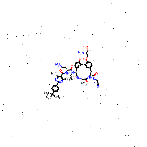 Cc1nc(-c2ccc(C(C)(C)C)cc2)nc(C)c1C(=O)N[C@@H](CCN)C(=O)N(C)[C@@H]1C(=O)N[C@@H](C)C(=O)N[C@H](C(=O)NCC#N)Cc2ccc(OC[C@@H](N)CO)c(c2)-c2cc1ccc2O